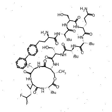 CC[C@H](C)[C@H](NC(=O)[C@H](N)CCc1ccc(-c2ccccc2)cc1)C(=O)N[C@@H](CO)C(=O)N[C@H](CCC(N)=O)C(=O)N[C@@H](C(=O)N[C@H](C(=O)N[C@@H](CO)C(=O)N[C@H]1C(=O)N[C@@H](C)C(=O)N[C@@]2(C[C@H]2CC(F)F)C(=O)N[C@@H]([C@@H](C)CC)C(=O)O[C@H]1C)[C@@H](C)CC)[C@@H](C)CC